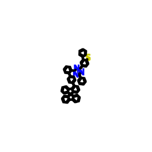 c1ccc(-c2nc(-c3ccc4sc5ccccc5c4c3)nc(-c3ccccc3-c3ccc(-c4cccc5c4-c4ccccc4C54c5ccccc5-c5ccccc54)cc3)n2)cc1